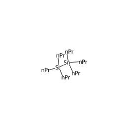 CCC[Si](CCC)(CCC)[Sn]([CH2]CC)([CH2]CC)[CH2]CC